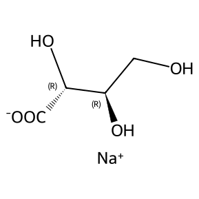 O=C([O-])[C@H](O)[C@H](O)CO.[Na+]